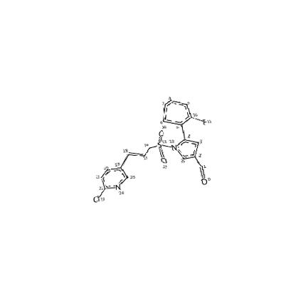 O=Cc1cc(-c2ccccc2F)n(S(=O)(=O)CC=Cc2ccc(Cl)nc2)c1